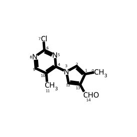 Cc1cn(-c2nc(Cl)ncc2C)cc1C=O